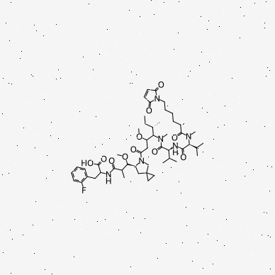 CC[C@H](C)C(C(CC(=O)N1CC2(CC2)C[C@H]1C(OC)C(C)C(=O)NC(Cc1ccccc1F)C(=O)O)OC)N(C)C(=O)[C@@H](NC(=O)[C@H](C(C)C)N(C)C(=O)CCCCCN1C(=O)C=CC1=O)C(C)C